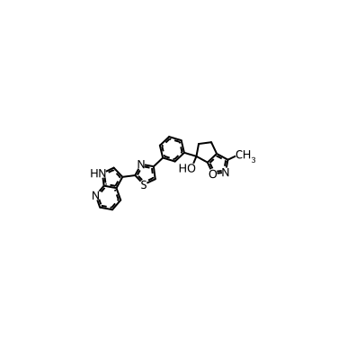 Cc1noc2c1CCC2(O)c1cccc(-c2csc(-c3c[nH]c4ncccc34)n2)c1